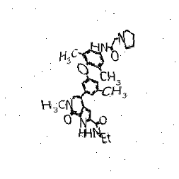 CCNC(=O)c1cc2c(-c3cc(C)cc(Oc4c(C)cc(NC(=O)CN5CCCC5)cc4C)c3)cn(C)c(=O)c2[nH]1